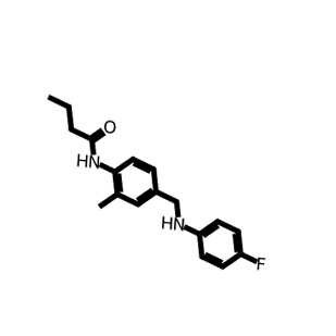 CCCC(=O)Nc1ccc(CNc2ccc(F)cc2)cc1C